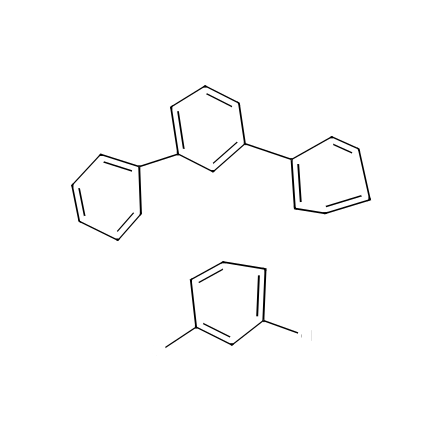 Clc1cccc(Cl)c1.c1ccc(-c2cccc(-c3ccccc3)c2)cc1